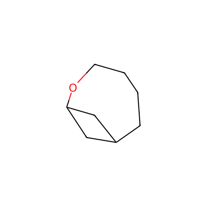 C1CCC2CC(C2)OC1